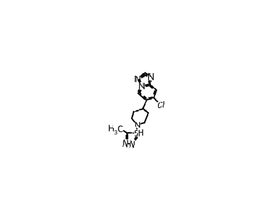 CC1=NN=C[SH]1N1CCC(c2cn3ncnc3cc2Cl)CC1